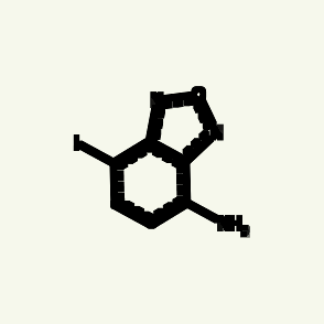 Nc1ccc(I)c2nonc12